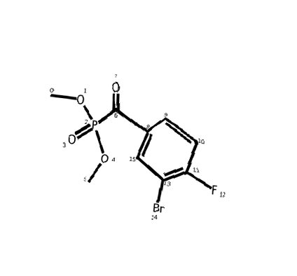 COP(=O)(OC)C(=O)c1ccc(F)c(Br)c1